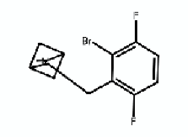 Fc1ccc(F)c(CN2C=C3CC2C3)c1Br